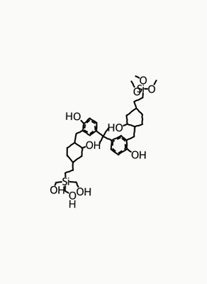 CO[Si](CCC1CCC(Cc2cc(C(C)(C)c3ccc(O)c(CC4CCC(CC[Si](CO)(CO)CO)CC4O)c3)ccc2O)C(O)C1)(OC)OC